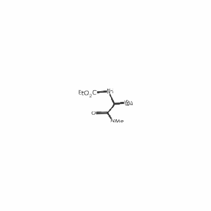 CCOC(=O)NC(C(=O)NC)C(C)(C)C